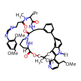 CCn1c(-c2cnccc2COC)c2c3cc(ccc31)-c1cccc(c1)C[C@H](NC(=O)C(C(C)C)N(C)C(=O)CCN=C=Nc1ccc(OC)cc1OC)C(=O)N1CCC[C@H](N1)C(=O)OCC(C)(C)C2